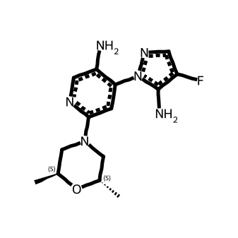 C[C@H]1CN(c2cc(-n3ncc(F)c3N)c(N)cn2)C[C@H](C)O1